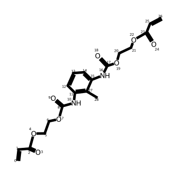 C=CC(=O)OCCOC(=O)Nc1cccc(NC(=O)OCCOC(=O)C=C)c1C